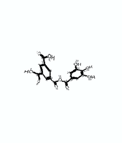 O=C(O)c1cc(C(=O)O)cc(C(=O)OC(=O)c2cc(O)c(O)c(O)c2)c1